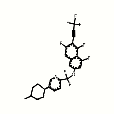 CC1CCC(c2ccc(C(F)(F)Oc3cc(F)c4c(F)c(C#CC(F)(F)F)c(F)cc4c3)nc2)CC1